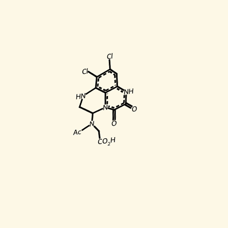 CC(=O)N(CC(=O)O)C1CNc2c(Cl)c(Cl)cc3[nH]c(=O)c(=O)n1c23